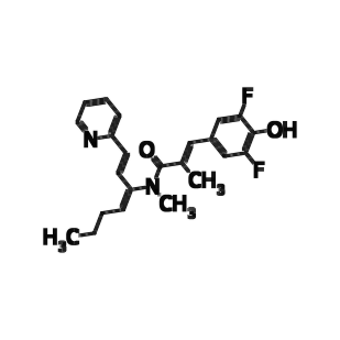 CCC/C=C(\C=C\c1ccccn1)N(C)C(=O)/C(C)=C/c1cc(F)c(O)c(F)c1